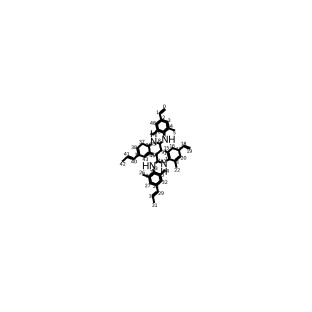 C=Cc1cc(C)c(NC(CCC(NC2=C(C)CC(C=C)C=C2C)Nc2c(C)cc(/C=C/C)cc2C)NC2CC=C(/C=C/C)C=C2C)c(C)c1